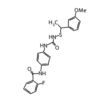 COc1cccc(C(C)SNC(=O)Nc2ccc(NC(=O)c3ccccc3F)cc2)c1